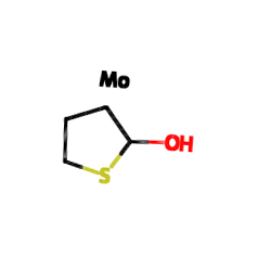 OC1CCCS1.[Mo]